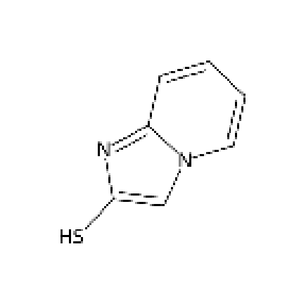 Sc1cn2ccccc2n1